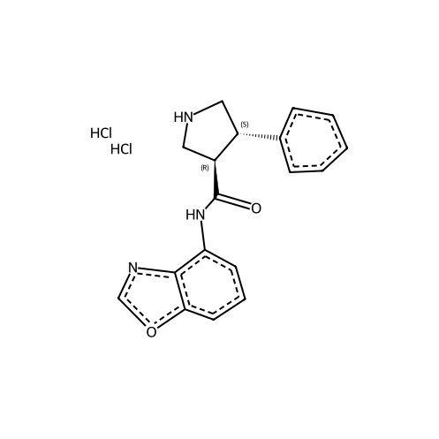 Cl.Cl.O=C(Nc1cccc2ocnc12)[C@H]1CNC[C@@H]1c1ccccc1